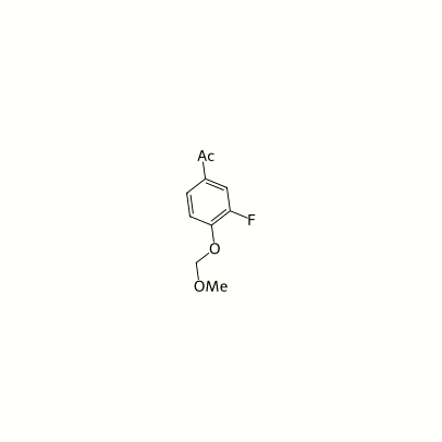 COCOc1ccc(C(C)=O)cc1F